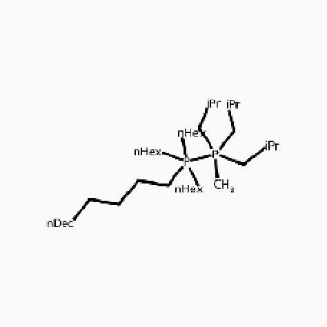 CCCCCCCCCCCCCCP(CCCCCC)(CCCCCC)(CCCCCC)P(C)(CC(C)C)(CC(C)C)CC(C)C